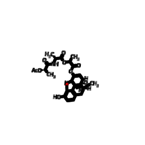 CC(=O)O[C@@H](C)C(=O)N[C@@H](C)C(=O)OC(C)C(=O)OC1=CC[C@@]2(O)[C@H]3Cc4ccc(O)c5c4[C@@]2(CCN3C)[C@H]1O5